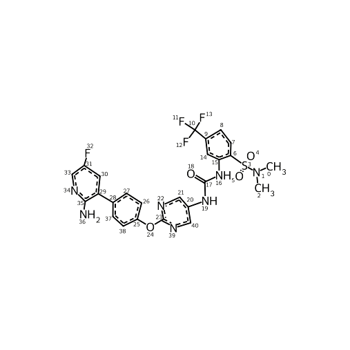 CN(C)S(=O)(=O)c1ccc(C(F)(F)F)cc1NC(=O)Nc1cnc(Oc2ccc(-c3cc(F)cnc3N)cc2)nc1